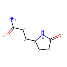 NC(=O)CCC1CCC(=O)N1